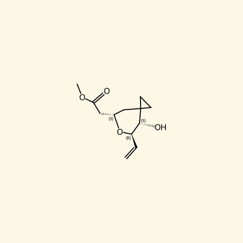 C=C[C@H]1O[C@H](CC(=O)OC)CC2(CC2)[C@@H]1O